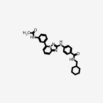 CC(=O)Nc1cccc(-c2cccc3nc(Nc4ccc(C(=O)NCC5CCCCC5)cc4)nn23)c1